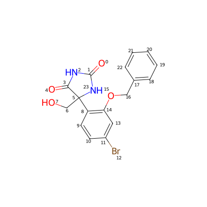 O=C1NC(=O)C(CO)(c2ccc(Br)cc2OCc2ccccc2)N1